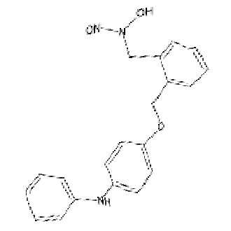 O=NN(O)Cc1ccccc1COc1ccc(Nc2ccccc2)cc1